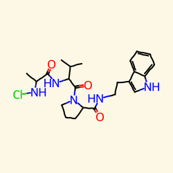 CC(NCl)C(=O)NC(C(=O)N1CCCC1C(=O)NCCc1c[nH]c2ccccc12)C(C)C